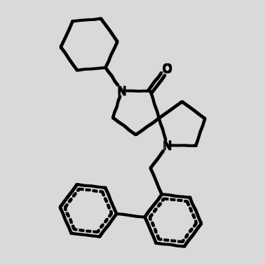 O=C1N(C2CCCCC2)CCC12CCCN2Cc1ccccc1-c1ccccc1